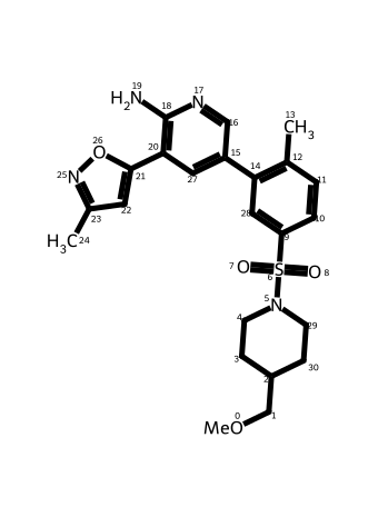 COCC1CCN(S(=O)(=O)c2ccc(C)c(-c3cnc(N)c(-c4cc(C)no4)c3)c2)CC1